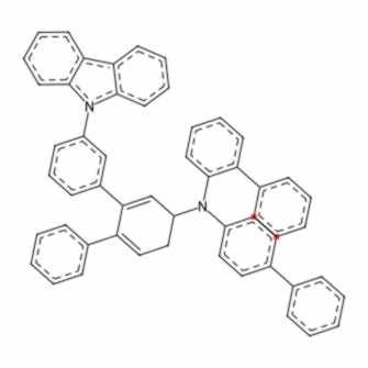 C1=C(c2ccccc2)C(c2cccc(-n3c4ccccc4c4ccccc43)c2)=CC(N(c2ccc(-c3ccccc3)cc2)c2ccccc2-c2ccccc2)C1